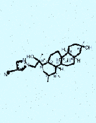 C[C@H]1[C@H]2[C@@H]3CC[C@@H]4C[C@](C)(O)CC[C@@H]4[C@H]3CC[C@]2(C)[C@@H]([C@](C)(O)Cn2cc(C#N)cn2)C[C@@H]1C